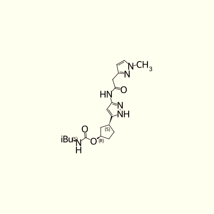 CC[C@H](C)NC(=O)O[C@@H]1CC[C@H](c2cc(NC(=O)Cc3ccn(C)n3)n[nH]2)C1